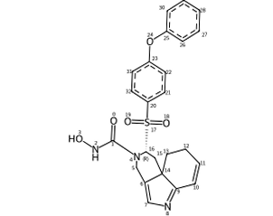 O=C(NO)N1CC2=CN=C3C=CCCC23C[C@H]1S(=O)(=O)c1ccc(Oc2ccccc2)cc1